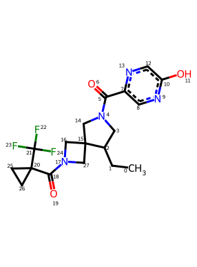 CCC1CN(C(=O)c2cnc(O)cn2)CC12CN(C(=O)C1(C(F)(F)F)CC1)C2